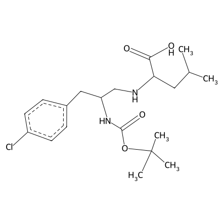 CC(C)CC(NCC(Cc1ccc(Cl)cc1)NC(=O)OC(C)(C)C)C(=O)O